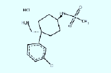 CS(=O)(=O)N[C@H]1CC[C@@](CN)(c2cccc(Cl)c2)CC1.Cl